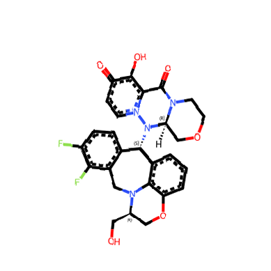 O=C1c2c(O)c(=O)ccn2N([C@H]2c3ccc(F)c(F)c3CN3c4c(cccc42)OC[C@H]3CO)[C@@H]2COCCN12